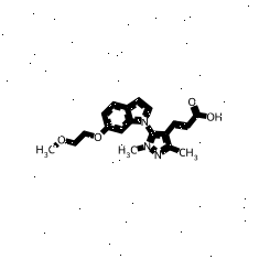 COCCOc1ccc2ccn(-c3c(/C=C/C(=O)O)c(C)nn3C)c2c1